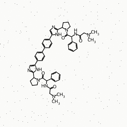 CN(C)CC(=O)NC(C(=O)N1CCCC1c1ncc(-c2ccc(-c3ccc(-c4cnc(C5CCCN5C(=O)C(NC(=O)CN(C)C)c5ccccc5)[nH]4)cc3)cc2)[nH]1)c1ccccc1